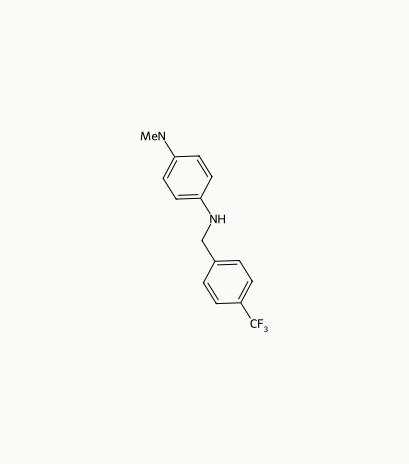 CNc1ccc(NCc2ccc(C(F)(F)F)cc2)cc1